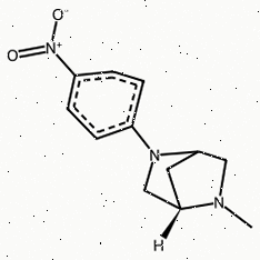 CN1CC2C[C@H]1CN2c1ccc([N+](=O)[O-])cc1